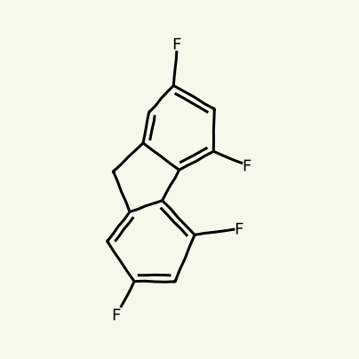 Fc1cc(F)c2c(c1)Cc1cc(F)cc(F)c1-2